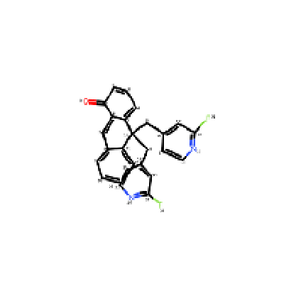 O=C1C=CC=C2C1=Cc1ccccc1C2(Cc1ccnc(F)c1)Cc1ccnc(F)c1